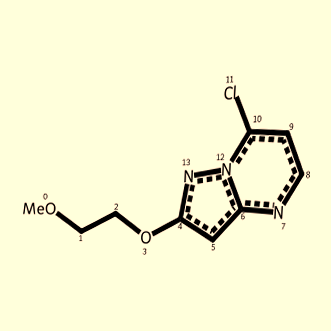 COCCOc1cc2nccc(Cl)n2n1